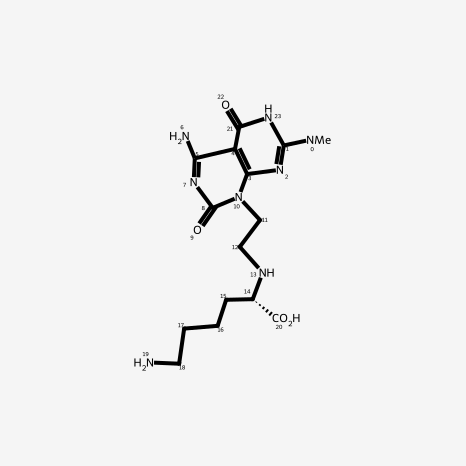 CNc1nc2c(c(N)nc(=O)n2CCN[C@@H](CCCCN)C(=O)O)c(=O)[nH]1